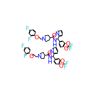 O=C(NC(c1ccc2c(c1)OC(F)(F)O2)c1ccccn1)C1CCN(CCOc2ccc(F)cc2F)CC1.O=C(NC(c1ccc2c(c1)OC(F)(F)O2)c1ccccn1)C1CCN(CCOc2ccc(F)cc2F)CC1